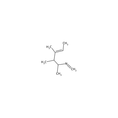 C=NC(C)C(C)/C(C)=C/C